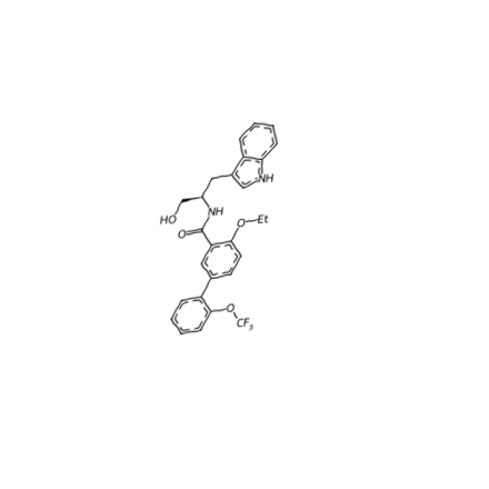 CCOc1ccc(-c2ccccc2OC(F)(F)F)cc1C(=O)N[C@@H](CO)Cc1c[nH]c2ccccc12